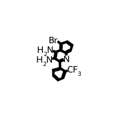 Nc1c(-c2ccccc2C(F)(F)F)nc2cccc(Br)c2c1N